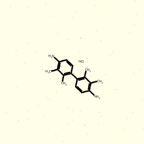 Cc1c(N)ccc(-c2ccc(N)c(C)c2C)c1C.Cl